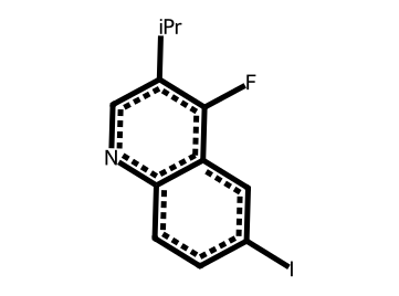 CC(C)c1cnc2ccc(I)cc2c1F